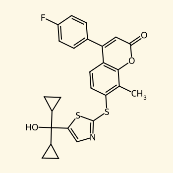 Cc1c(Sc2ncc(C(O)(C3CC3)C3CC3)s2)ccc2c(-c3ccc(F)cc3)cc(=O)oc12